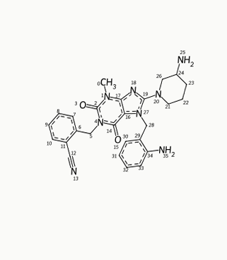 Cn1c(=O)n(Cc2ccccc2C#N)c(=O)c2c1nc(N1CCCC(N)C1)n2Cc1ccccc1N